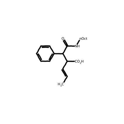 CC=CC(C(=O)O)C(C(=O)NCCCCCCCC)c1ccccc1